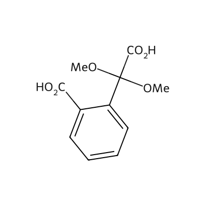 COC(OC)(C(=O)O)c1ccccc1C(=O)O